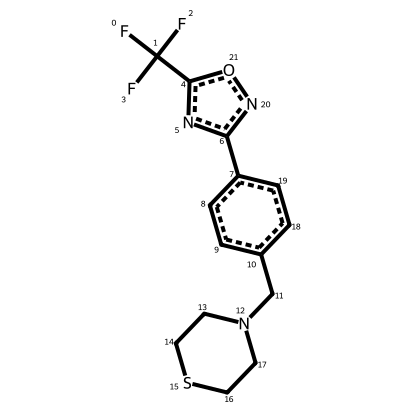 FC(F)(F)c1nc(-c2ccc(CN3CCSCC3)cc2)no1